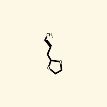 CC=CCC1OCCO1